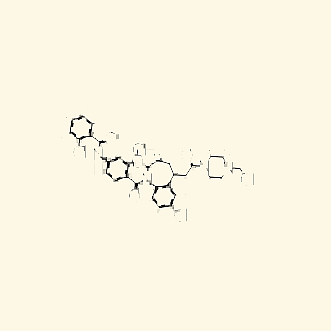 CCN1CCN(C(=O)CC2CCC(OC)N(C(=O)c3ccc(NC(=O)c4ccccc4Cl)cc3)c3ccc(Cl)cc32)CC1